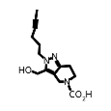 CC#CCCCn1nc2c(c1CO)CN(C(=O)O)CC2